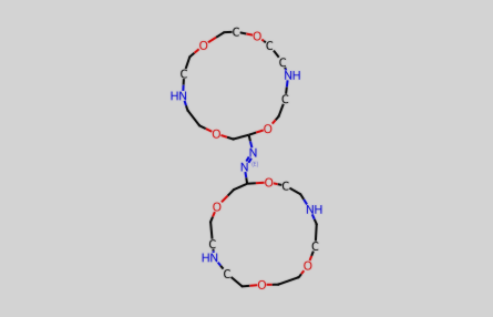 C1COCCOCCNCCOC(/N=N/C2COCCNCCOCCOCCNCCO2)COCCN1